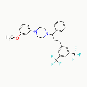 COc1cccc(N2CCN(C([CH]Cc3cc(C(F)(F)F)cc(C(F)(F)F)c3)c3ccccc3)CC2)c1